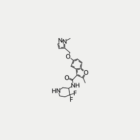 Cc1oc2ccc(OCc3ccnn3C)cc2c1C(=O)NC1CNCCC1(F)F